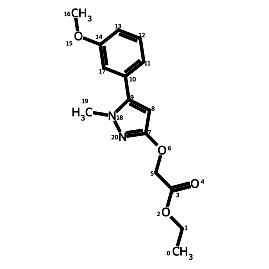 CCOC(=O)COc1cc(-c2cccc(OC)c2)n(C)n1